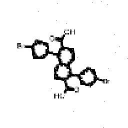 O=C(O)c1ccc2c(-c3ccc(Br)cc3)c(C(=O)O)ccc2c1-c1ccc(Br)cc1